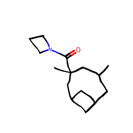 CC1CC2CC(C2)CC(C)(C(=O)N2CCC2)C1